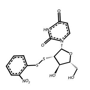 O=c1ccn([C@@H]2O[C@H](CO)[C@@H](O)[C@@H]2SSc2ccccc2[N+](=O)[O-])c(=O)[nH]1